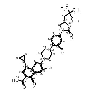 CC(C)(C)C[C@@H]1CN(c2ccc(N3CCN(c4cc5c(cc4F)c(=O)c(C(=O)O)cn5C4CC4)CC3)c(F)c2)C(=O)O1